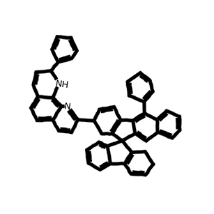 C1=CC2=C(CC1)C1(C3=C(C=CC(c4ccc5ccc6c(c5n4)NC(c4ccccc4)C=C6)C3)c3c1cc1ccccc1c3-c1ccccc1)c1ccccc12